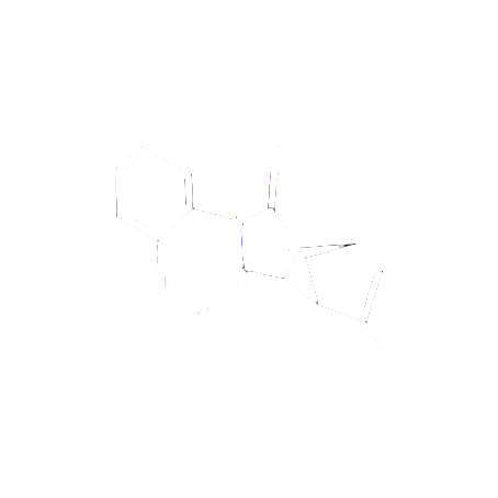 CC1=CC2CC1C1C(=O)N(c3ccccc3O)C(=O)C21